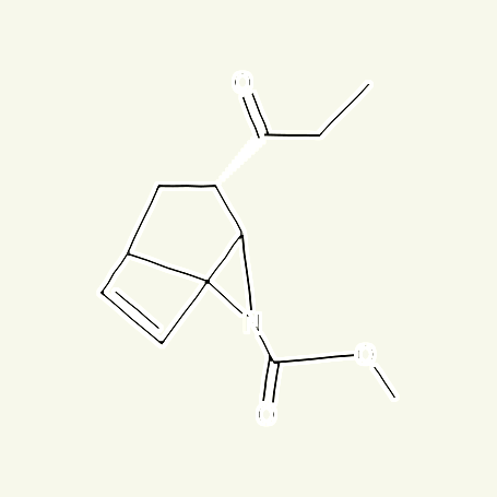 CCC(=O)[C@H]1CC2C=CC23C1N3C(=O)OC